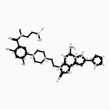 CN(CC[S@+](C)[O-])C(=O)c1cc(N2CCN(CCn3c(=O)sc4c3nc(N)n3nc(-c5ccco5)cc43)CC2)c(F)cc1F